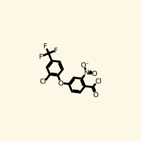 O=C(Cl)c1ccc(Oc2ccc(C(F)(F)F)cc2Cl)cc1[N+](=O)[O-]